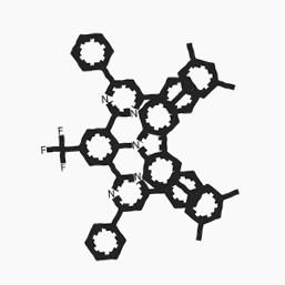 Cc1cc(C)cc(-c2ccc3c(c2)c2cc(-c4cc(C)cc(C)c4)ccc2n3-c2c(-c3nc(-c4ccccc4)cc(-c4ccccc4)n3)cc(C(F)(F)F)cc2-c2nc(-c3ccccc3)cc(-c3ccccc3)n2)c1